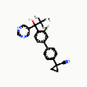 CC(C)(C)C(O)(c1cncnc1)c1ccc(-c2ccc(C3(C#N)CC3)cc2)cc1Cl